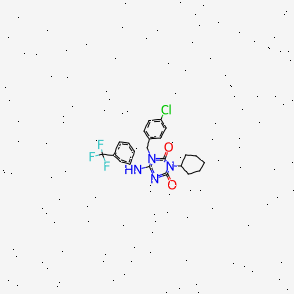 O=c1nc(Nc2cccc(C(F)(F)F)c2)n(Cc2ccc(Cl)cc2)c(=O)n1C1CCCCC1